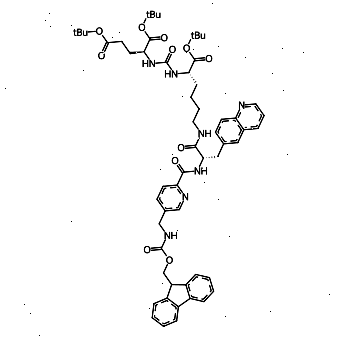 CC(C)(C)OC(=O)CC[C@H](NC(=O)N[C@@H](CCCCNC(=O)[C@H](Cc1ccc2ncccc2c1)NC(=O)c1ccc(CNC(=O)OCC2c3ccccc3-c3ccccc32)cn1)C(=O)OC(C)(C)C)C(=O)OC(C)(C)C